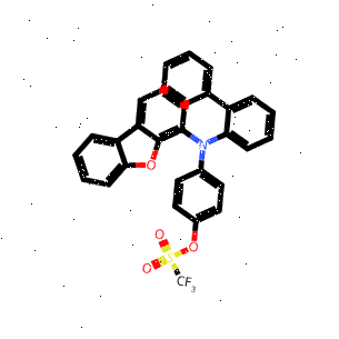 O=S(=O)(Oc1ccc(N(c2ccccc2-c2ccccc2)c2cccc3c2oc2ccccc23)cc1)C(F)(F)F